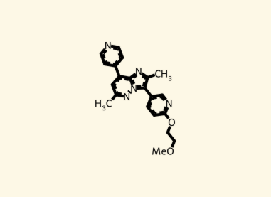 COCCOc1ccc(-c2c(C)nc3c(-c4ccncc4)cc(C)nn23)cn1